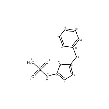 CS(=O)(=O)Nc1ccc(Cc2ccccc2)s1